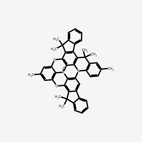 Cc1cc2c3c(c1)Oc1c4c(c5c6c1P3(=O)c1c(cc3c(c1O2)C(C)(C)c1ccccc1-3)N6c1ccc(C)cc1C5(C)C)-c1ccccc1C4(C)C